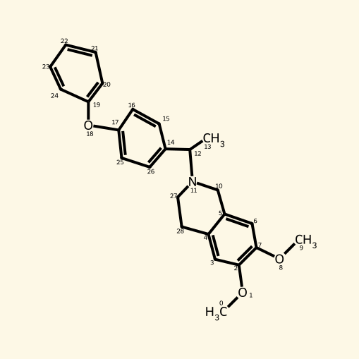 COc1cc2c(cc1OC)CN(C(C)c1ccc(Oc3ccccc3)cc1)CC2